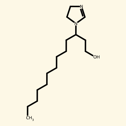 CCCCCCCCCCC(CCO)N1C=NCC1